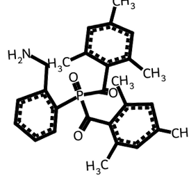 Cc1cc(C)c(C(=O)P(=O)(C(=O)c2c(C)cc(C)cc2C)c2ccccc2CN)c(C)c1